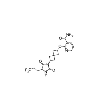 NC(=O)c1cccnc1O[C@H]1CC2(C1)C[C@H](N1C(=O)NC(CCC(F)(F)F)C1=O)C2